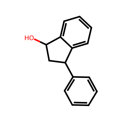 OC1CC(c2ccccc2)c2ccccc21